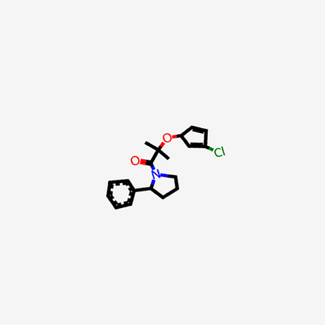 CC(C)(OC1C=CC(Cl)=C1)C(=O)N1CCCC1c1ccccc1